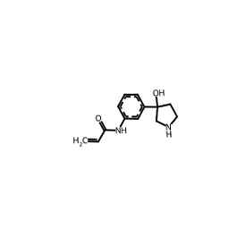 C=CC(=O)Nc1cccc(C2(O)CCNC2)c1